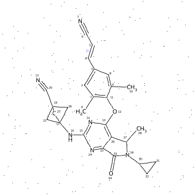 Cc1cc(/C=C/C#N)cc(C)c1Oc1nc(NC23CC(C#N)(C2)C3)nc2c1C(C)N(C1CC1)C2=O